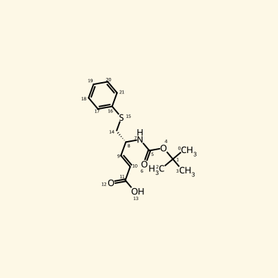 CC(C)(C)OC(=O)N[C@H](/C=C/C(=O)O)CSc1ccccc1